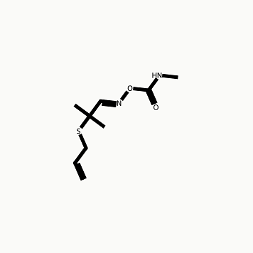 C=CCSC(C)(C)C=NOC(=O)NC